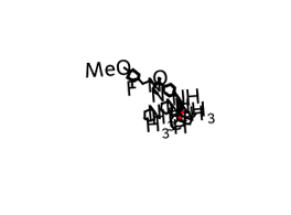 COc1ccc(CCn2cnc3cc(N/C(=N/[C@H]4C[C@@H]5C[C@H]([C@@H]4C)C5(C)C)N4CCC(N5CCCCC5)CC4)ccc3c2=O)c(F)c1